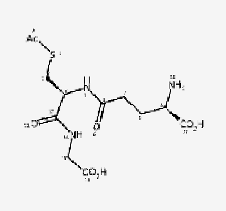 CC(=O)SC[C@@H](NC(=O)CC[C@@H](N)C(=O)O)C(=O)NCC(=O)O